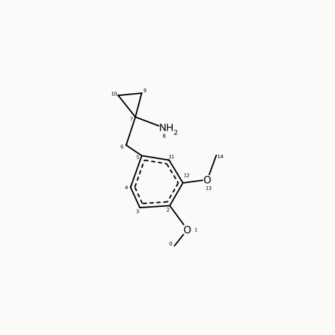 COc1ccc(CC2(N)CC2)cc1OC